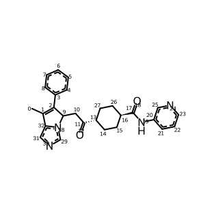 CC1=C(c2ccccc2)C(CC(=O)[C@H]2CC[C@H](C(=O)Nc3cccnc3)CC2)n2cncc21